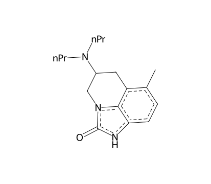 CCCN(CCC)C1Cc2c(C)ccc3[nH]c(=O)n(c23)C1